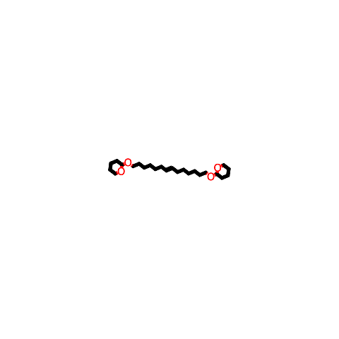 C(=C\CCCCCCOC1CCCCO1)/CCCCCCOC1CCCCO1